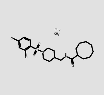 O=C(NCC1CCN(S(=O)(=O)c2ccc(Cl)cc2Cl)CC1)[C]1CCCCCCC1.[CH2].[CH2]